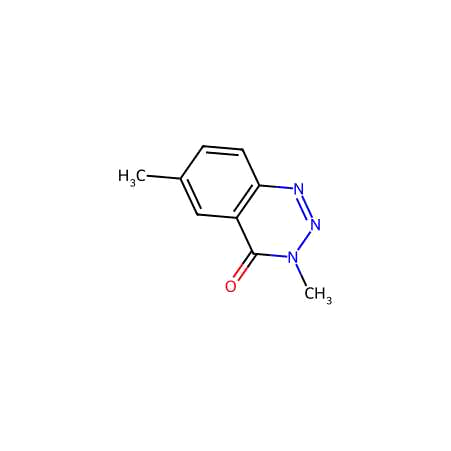 Cc1ccc2nnn(C)c(=O)c2c1